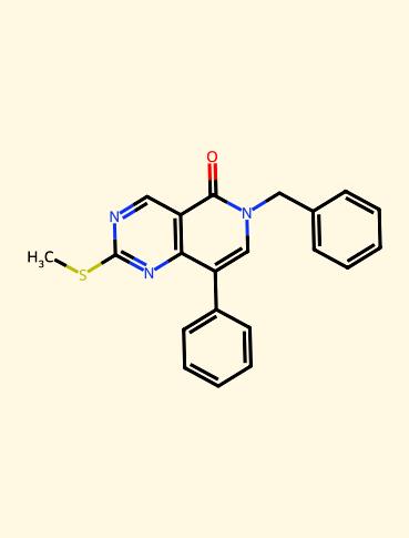 CSc1ncc2c(=O)n(Cc3ccccc3)cc(-c3ccccc3)c2n1